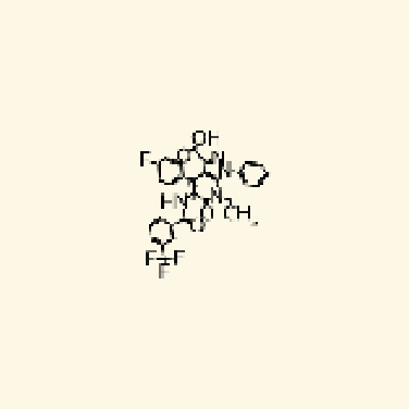 CCN1C(=O)[C@@H](NC(=O)c2cccc(C(F)(F)F)c2)[C@@H](c2ccc(F)cc2)c2c(C(=O)O)nn(-c3ccccc3)c21